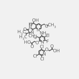 COCc1cnc(C2=NC(C)(C(C)C)C(=O)N2)c(C(=O)O)c1.Nc1c(Cl)c(F)nc(OCC(=O)O)c1Cl.O=C(O)COc1nc(Cl)c(Cl)cc1Cl